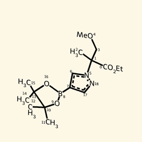 CCOC(=O)C(C)(COC)n1cc(B2OC(C)(C)C(C)(C)O2)cn1